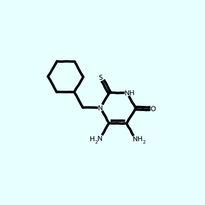 Nc1c(N)n(CC2CCCCC2)c(=S)[nH]c1=O